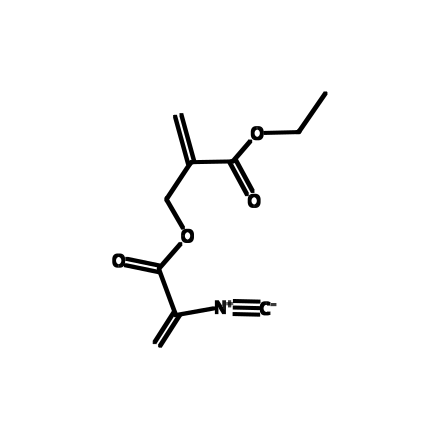 [C-]#[N+]C(=C)C(=O)OCC(=C)C(=O)OCC